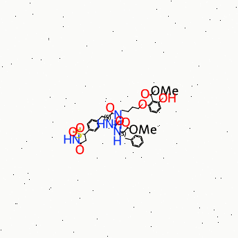 COC(=O)c1c(O)cccc1OCCCCNC(=O)[C@H](Cc1ccc(C2CC(=O)NS2(=O)=O)cc1)NC(=O)N[C@@H](Cc1ccccc1)C(=O)OC